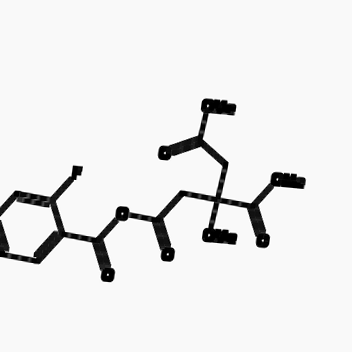 COC(=O)CC(CC(=O)OC(=O)c1ccccc1F)(OC)C(=O)OC